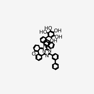 Oc1c(O)c(O)c(-c2cccc3c2c2ccccc2n3C=C2CC=Cc3oc4cccc(-c5nc(-c6ccccc6)nc(-c6cccc(-c7ccccc7)c6)n5)c4c32)c(O)c1O